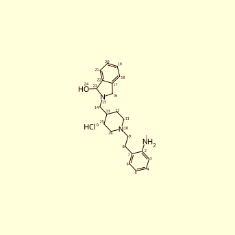 Cl.Nc1ccccc1CCN1CCC(CN2Cc3ccccc3C2O)CC1